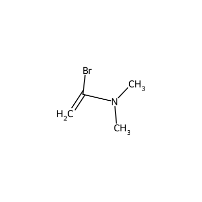 C=C(Br)N(C)C